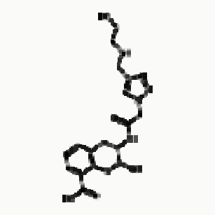 O=C(Cn1cc(CNCCO)nn1)NC1Cc2cccc(C(=O)O)c2OB1O